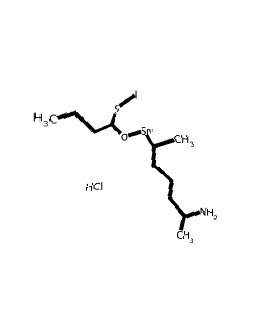 CCCC([O][Sn][CH](C)CCCC(C)N)SI.Cl